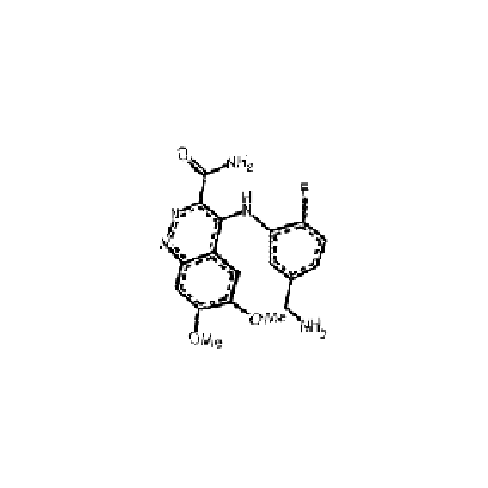 COc1cc2nnc(C(N)=O)c(Nc3cc(CN)ccc3F)c2cc1OC